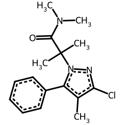 Cc1c(Cl)nn(C(C)(C)C(=O)N(C)C)c1-c1ccccc1